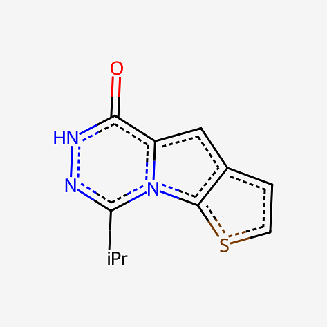 CC(C)c1n[nH]c(=O)c2cc3ccsc3n12